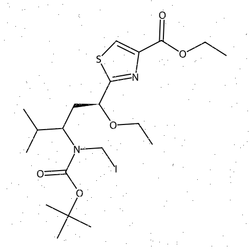 CCOC(=O)c1csc([C@H](CC(C(C)C)N(CI)C(=O)OC(C)(C)C)OCC)n1